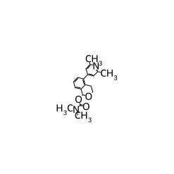 Cc1cc(-c2cccc3c2CCOC3OC(=O)N(C)C)cc(C)n1